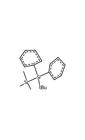 CC(C)(C)[Si](c1ccccc1)(c1ccccc1)[Si](C)(C)C